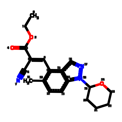 CCOC(=O)/C(C#N)=C/c1c(C)ccc2c1cnn2C1CCCCO1